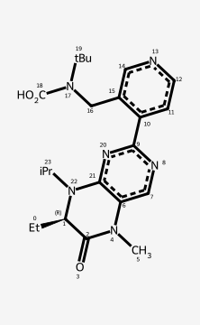 CC[C@@H]1C(=O)N(C)c2cnc(-c3ccncc3CN(C(=O)O)C(C)(C)C)nc2N1C(C)C